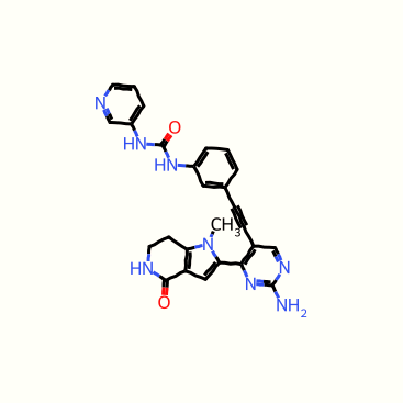 Cn1c(-c2nc(N)ncc2C#Cc2cccc(NC(=O)Nc3cccnc3)c2)cc2c1CCNC2=O